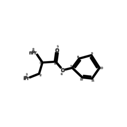 CCCC(CC(C)C)C(=O)Oc1ccccc1